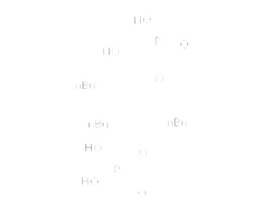 CCCCC(OP(=O)(O)O)C(CCCC)(CCCC)OP(=O)(O)O